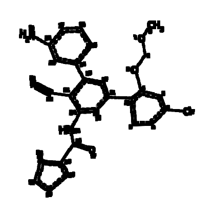 COCOc1cc(Cl)ccc1-c1cc(-c2cccc(N)c2)c(C#N)c(NC(=O)c2cccs2)n1